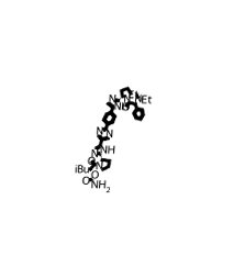 CCC(C)[C@H](OC(N)=O)C(=O)N1CCC[C@H]1c1ncc(-c2cnc(-c3ccc(-c4cnc([C@@H]5CCCN5C(=O)[C@@H](c5ccccc5)N(CC)CC)[nH]4)cc3)nc2)[nH]1